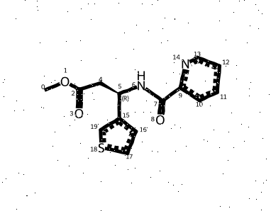 COC(=O)C[C@@H](NC(=O)c1ccccn1)c1ccsc1